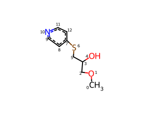 COCC(O)CSc1ccncc1